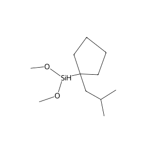 CO[SiH](OC)C1(CC(C)C)CCCC1